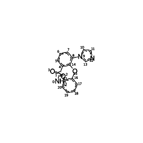 NS(=O)(=O)c1cccc(-n2ccnc2)c1Oc1ccccc1